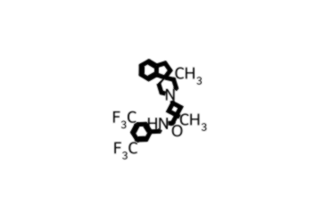 C[C@H]1CN(C2CC(C)(C(=O)NCc3cc(C(F)(F)F)cc(C(F)(F)F)c3)C2)CC[C@@]12CCc1ccccc12